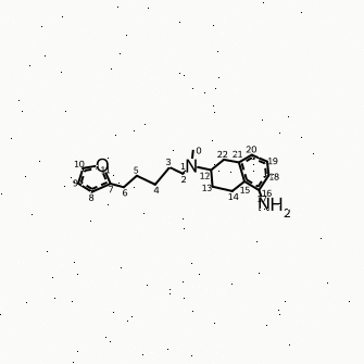 CN(CCCCCc1ccco1)C1CCc2c(N)cccc2C1